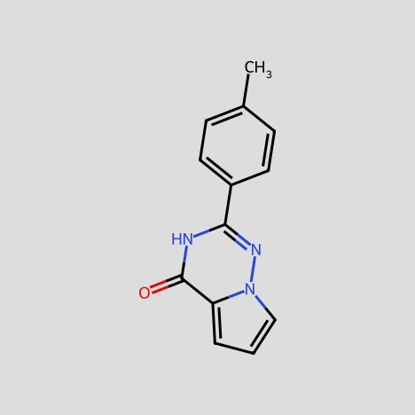 Cc1ccc(-c2nn3cccc3c(=O)[nH]2)cc1